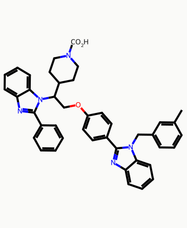 Cc1cccc(Cn2c(-c3ccc(OCC(C4CCN(C(=O)O)CC4)n4c(-c5ccccc5)nc5ccccc54)cc3)nc3ccccc32)c1